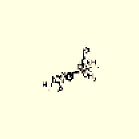 Cc1ncc(Nc2cccc(CCNC(=O)[C@H](C)N(C)C(=O)/C=C/CN3CCC3)c2)nc1C1CC1